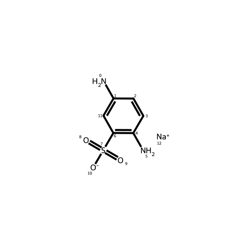 Nc1ccc(N)c(S(=O)(=O)[O-])c1.[Na+]